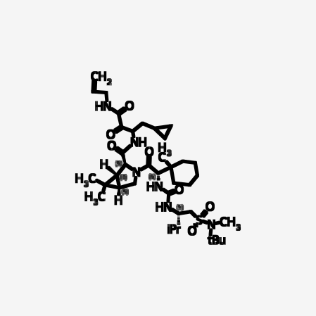 C=CCNC(=O)C(=O)C(CC1CC1)NC(=O)[C@@H]1[C@@H]2[C@H](CN1C(=O)[C@@H](NC(=O)N[C@H](CS(=O)(=O)N(C)C(C)(C)C)C(C)C)C1(C)CCCCC1)C2(C)C